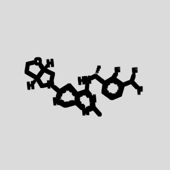 Cc1nc(N[C@H](C)c2cccc(C(F)F)c2F)c2cc(N3C[C@H]4CCO[C@H]4C3)ncc2n1